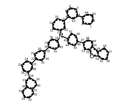 c1ccc(-c2cccc(-c3cccc(N(c4ccc(-c5ccc(-c6cccc(-c7ccc8ccccc8c7)c6)cc5)cc4)c4ccc(-c5ccc6c(c5)oc5ccccc56)cc4)c3)c2)cc1